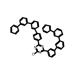 Clc1nc(-c2ccc(-c3cccc(-c4cccc(-c5ccccc5)c4)c3)cc2)nc(-c2cccc(-c3cccc(-c4cccc(-c5ccccc5)c4)c3)c2)n1